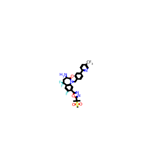 CC(C)(c1nnc(-c2cc3c(cc2F)C(F)(F)CC(N)C(=O)N3Cc2ccc(-c3ccc(C(F)(F)F)cn3)cc2)o1)S(C)(=O)=O